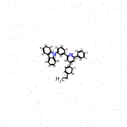 C=CC1=CC=C(c2cc(-c3ccccc3)nc(-c3cccc(-n4c5c(c6ccccc64)C=CCC5)c3)c2)CC1